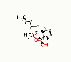 CCCCCC(OC)c1ccccc1C(=O)O